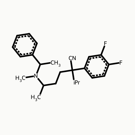 CC(CCC(C#N)(c1ccc(F)c(F)c1)C(C)C)N(C)C(C)c1ccccc1